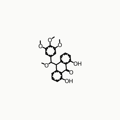 COc1cc(C(OC)C2c3cccc(O)c3C(=O)c3c(O)cccc32)cc(OC)c1OC